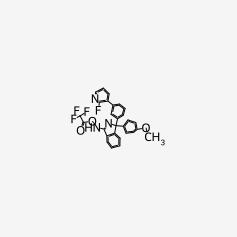 COc1ccc(C2(c3cccc(-c4cccnc4F)c3)N=C(NOC(=O)C(F)(F)F)c3ccccc32)cc1